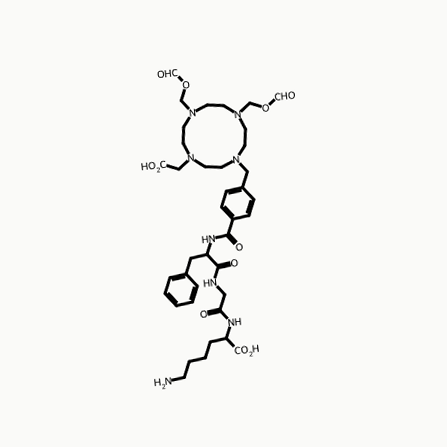 NCCCCC(NC(=O)CNC(=O)C(Cc1ccccc1)NC(=O)c1ccc(CN2CCN(COC=O)CCN(COC=O)CCN(CC(=O)O)CC2)cc1)C(=O)O